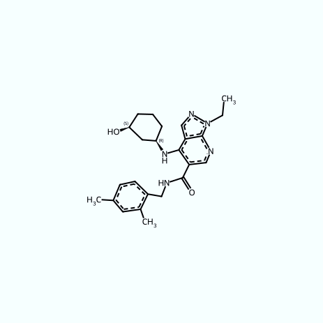 CCn1ncc2c(N[C@@H]3CCC[C@H](O)C3)c(C(=O)NCc3ccc(C)cc3C)cnc21